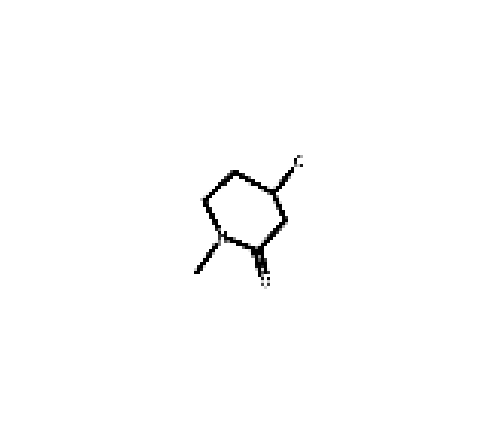 CN1CCC([O])CC1=O